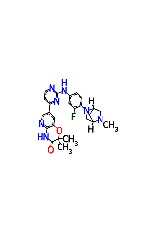 CN1C[C@@H]2C[C@H]1CN2c1ccc(Nc2nccc(-c3cnc4c(c3)OC(C)(C)C(=O)N4)n2)cc1F